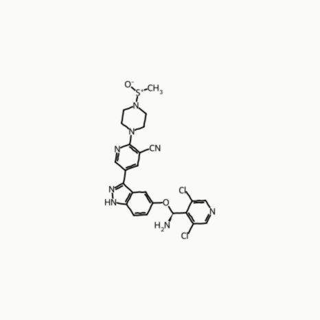 C[S+]([O-])N1CCN(c2ncc(-c3n[nH]c4ccc(O[C@H](N)c5c(Cl)cncc5Cl)cc34)cc2C#N)CC1